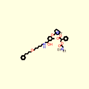 C=C1C=C(C(O)CNCCCCCCOCCCCc2ccccc2)C=CC1OCC12CCC(CC(OC(=O)C(COC(=O)CN(CC)CC)c3ccccc3)C1)[N+]2(C)C(C)C